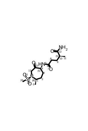 C[C@@H]1CC[C@H](NC(=O)[CH]C[C@H](C)C(N)=O)C(=O)CN1S(C)(=O)=O